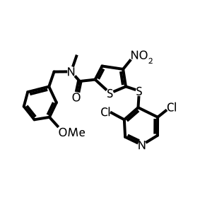 COc1cccc(CN(C)C(=O)c2cc([N+](=O)[O-])c(Sc3c(Cl)cncc3Cl)s2)c1